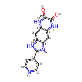 O=c1[nH]c2cc3nc(-c4ccncc4)[nH]c3cc2[nH]c1=O